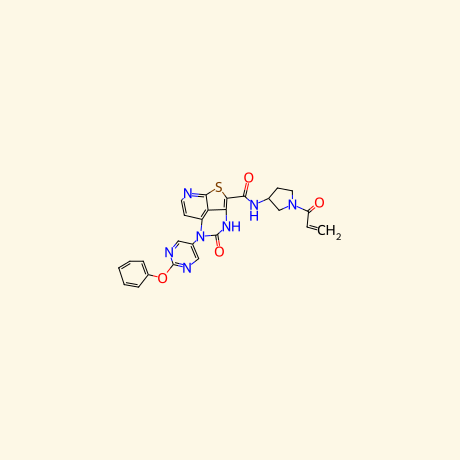 C=CC(=O)N1CCC(NC(=O)c2sc3nccc4c3c2NC(=O)N4c2cnc(Oc3ccccc3)nc2)C1